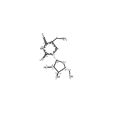 NCc1cn([C@@H]2O[C@H](CO)[C@@H](O)[C@H]2O)c(=O)[nH]c1=S